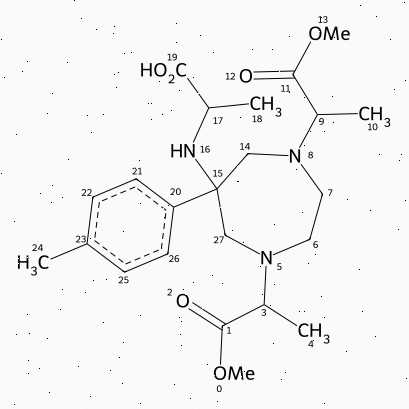 COC(=O)C(C)N1CCN(C(C)C(=O)OC)CC(NC(C)C(=O)O)(c2ccc(C)cc2)C1